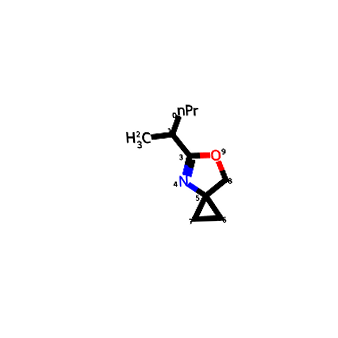 CCCC(C)C1=NC2(CC2)CO1